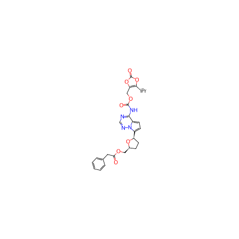 CC(C)c1oc(=O)oc1COC(=O)Nc1ncnn2c([C@H]3CC[C@@H](COC(=O)Cc4ccccc4)O3)ccc12